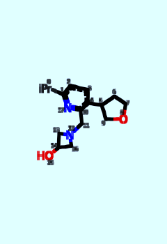 CC(C)c1ccc(C2CCOC2)c(CN2CC(O)C2)n1